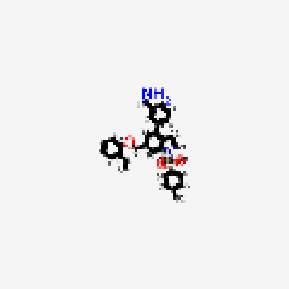 [CH2]Cc1ccccc1OCc1cc(-c2cccc(CN)c2)c2ccn(S(=O)(=O)c3ccc(C)cc3)c2c1